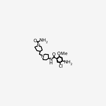 COc1cc(N)c(Cl)cc1C(=O)NC1CCN(CC2CCN(C(N)=O)CC2)CC1